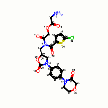 NCC(=O)OCC(=O)N(C[C@H]1CN(c2ccc(N3CCOCC3=O)cc2)C(=O)O1)C(=O)c1ccc(Cl)s1